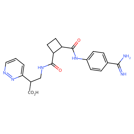 N=C(N)c1ccc(NC(=O)C2CCC2C(=O)NCC(C(=O)O)c2cccnn2)cc1